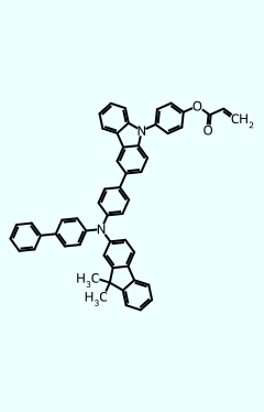 C=CC(=O)Oc1ccc(-n2c3ccccc3c3cc(-c4ccc(N(c5ccc(-c6ccccc6)cc5)c5ccc6c(c5)C(C)(C)c5ccccc5-6)cc4)ccc32)cc1